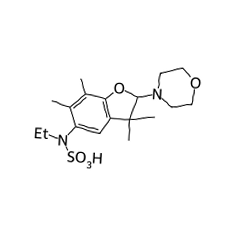 CCN(c1cc2c(c(C)c1C)OC(N1CCOCC1)C2(C)C)S(=O)(=O)O